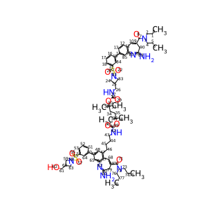 CCCN(CCC)C(=O)C1=Cc2ccc(-c3cccc(S(=O)(=O)N4CC(CNC(=O)OC(C)(C)CCC(C)(C)OC(=O)NCCCCc5cc(-c6cccc(S(=O)(=O)N7CC(CO)C7)c6)cc6c5C=C(C(=O)N(CCC)CCC)CC(N)=N6)C4)c3)cc2N=C(N)C1